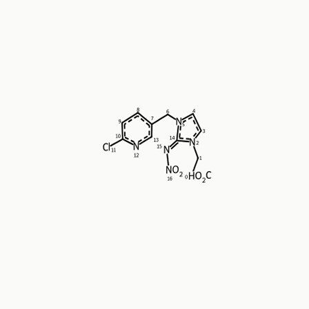 O=C(O)Cn1ccn(Cc2ccc(Cl)nc2)c1=N[N+](=O)[O-]